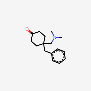 CN(C)CC1(Cc2ccccc2)CCC(=O)CC1